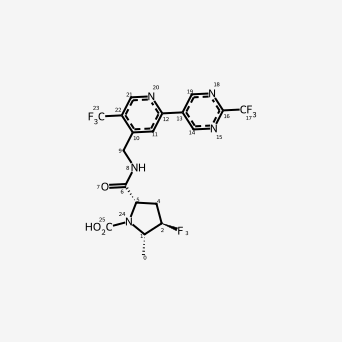 C[C@H]1[C@H](F)C[C@@H](C(=O)NCc2cc(-c3cnc(C(F)(F)F)nc3)ncc2C(F)(F)F)N1C(=O)O